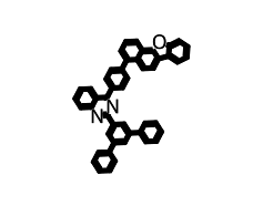 c1ccc(-c2cc(-c3ccccc3)cc(-c3nc(-c4ccc(-c5cccc6c5ccc5c7ccccc7oc65)cc4)c4ccccc4n3)c2)cc1